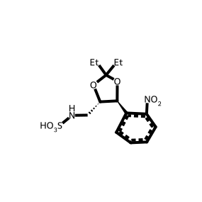 CCC1(CC)O[C@@H](CNS(=O)(=O)O)[C@H](c2ccccc2[N+](=O)[O-])O1